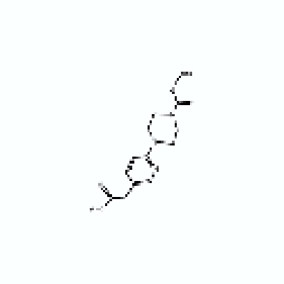 COC(=O)Cc1ccc(N2CCN(C(=O)OC(C)(C)C)CC2)nc1